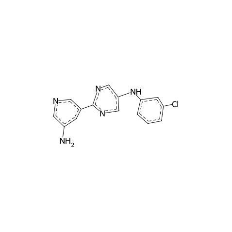 Nc1cncc(-c2ncc(Nc3cccc(Cl)c3)cn2)c1